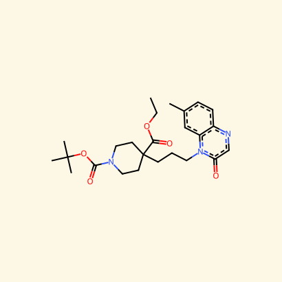 CCOC(=O)C1(CCCn2c(=O)cnc3ccc(C)cc32)CCN(C(=O)OC(C)(C)C)CC1